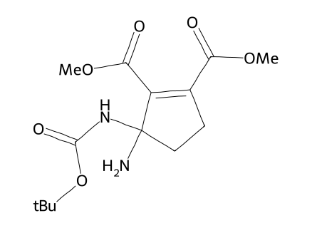 COC(=O)C1=C(C(=O)OC)C(N)(NC(=O)OC(C)(C)C)CC1